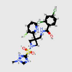 Cn1cnc(S(=O)(=O)N2CC(CNC(=O)c3ccc(Cl)cc3Cl)(c3ncccc3F)C2)n1